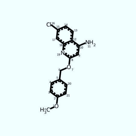 COc1ccc(COc2cc(N)c3ccc(Cl)cc3n2)cc1